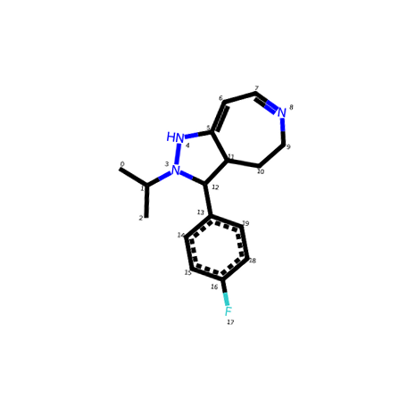 CC(C)N1NC2=CC=NCCC2C1c1ccc(F)cc1